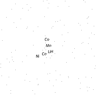 [Co].[Co].[LiH].[Mn].[Ni]